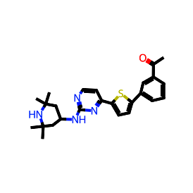 CC(=O)c1cccc(-c2ccc(-c3ccnc(NC4CC(C)(C)NC(C)(C)C4)n3)s2)c1